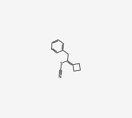 N#CSC(Cc1ccccc1)=C1CCC1